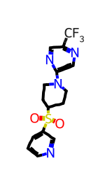 O=S(=O)(c1cccnc1)C1CCN(c2cnc(C(F)(F)F)cn2)CC1